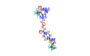 O=C(CCOCCNc1cn[nH]c(=O)c1C(F)(F)F)N1CCN(c2ncc(C(F)(F)F)s2)CC1